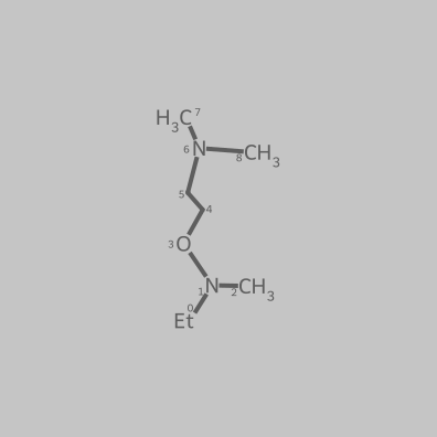 CCN(C)OCCN(C)C